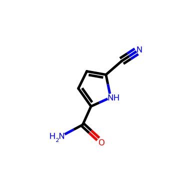 N#Cc1ccc(C(N)=O)[nH]1